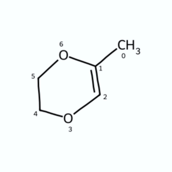 CC1=COCCO1